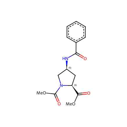 COC(=O)[C@@H]1C[C@H](NC(=O)c2ccccc2)CN1C(=O)OC